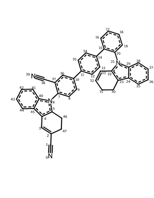 N#CC1=Cc2c(n(-c3ccc(-c4ccc(-c5ccccc5-n5c6c(c7ccccc75)CCC=C6)cc4)cc3C#N)c3ccccc23)CC1